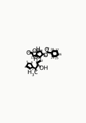 CC(C1C=CCC1)[C@@H](O)C=C[C@@H]1[C@H]2CC(=O)O[C@H]2C[C@H]1OC(=O)c1ccccc1